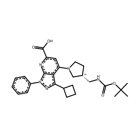 CC(C)(C)OC(=O)NC[C@H]1CCN(c2cc(C(=O)O)nc3c2c(C2CCC2)nn3-c2ccccc2)C1